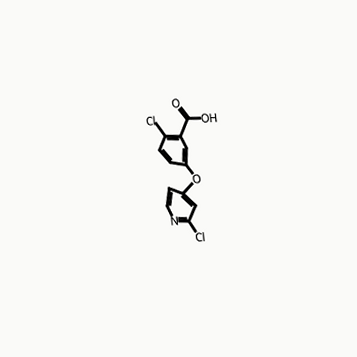 O=C(O)c1cc(Oc2ccnc(Cl)c2)ccc1Cl